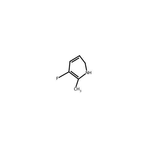 CC1=C(F)C=CCN1